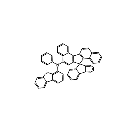 c1ccc(N(c2cc3c(c4ccccc24)-c2ccc4ccccc4c2C32c3ccccc3-c3ccccc32)c2cccc3c2sc2ccccc23)cc1